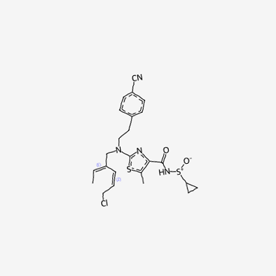 C/C=C(\C=C/CCl)CN(CCc1ccc(C#N)cc1)c1nc(C(=O)N[S+]([O-])C2CC2)c(C)s1